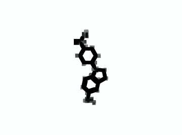 Bc1ccc2c(c1)CCN2C1CCC(NCC)CC1